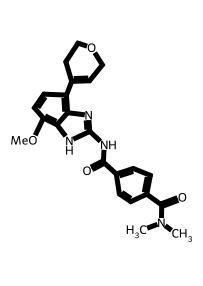 COc1ccc(C2=CCOCC2)c2nc(NC(=O)c3ccc(C(=O)N(C)C)cc3)[nH]c12